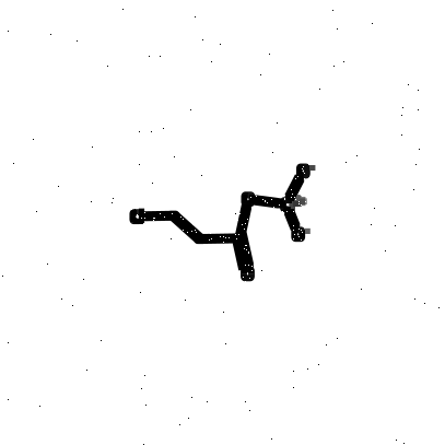 O=C(CCCl)O[Cl+2]([O-])[O-]